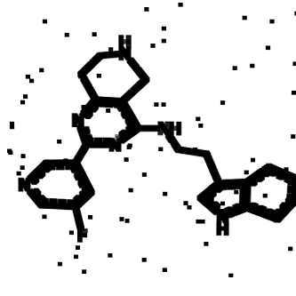 Fc1cncc(-c2nc3c(c(NCCc4c[nH]c5ccccc45)n2)CNCC3)c1